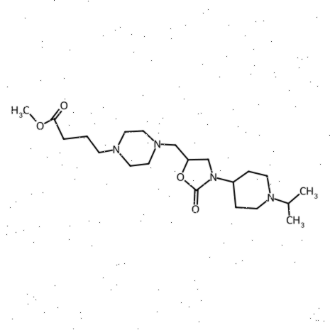 COC(=O)CCCN1CCN(CC2CN(C3CCN(C(C)C)CC3)C(=O)O2)CC1